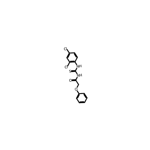 O=C(COc1ccccc1)NC(=S)Nc1ccc(Cl)cc1Cl